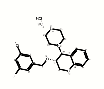 Cl.Cl.Fc1cc(Cl)cc(CO[C@H]2COc3ccccc3[C@@H]2N2CCNCC2)c1